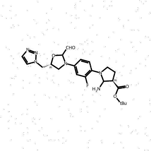 CC(C)(C)OC(=O)[C@@H]1CCN(c2ccc(N3C[C@H](Cn4ccnn4)OC3C=O)cc2F)C1N